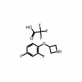 Fc1ccc(OC2CNC2)c(F)c1.O=C(O)C(F)(F)F